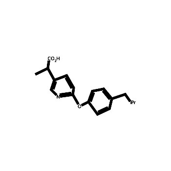 CC(C)Cc1ccc(Oc2ccc(C(C)C(=O)O)cn2)cc1